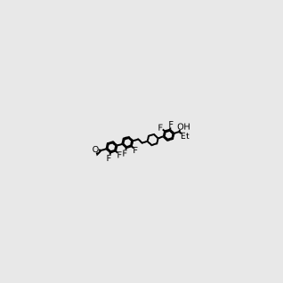 CCC(O)c1ccc(C2CCC(CCc3ccc(-c4ccc(C5CO5)c(F)c4F)c(F)c3F)CC2)c(F)c1F